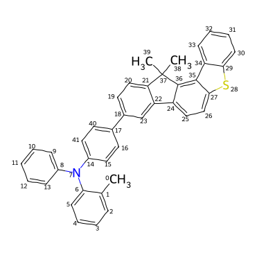 Cc1ccccc1N(c1ccccc1)c1ccc(-c2ccc3c(c2)-c2ccc4sc5ccccc5c4c2C3(C)C)cc1